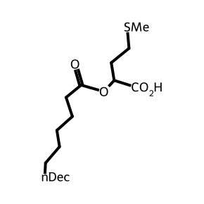 CCCCCCCCCCCCCCCC(=O)OC(CCSC)C(=O)O